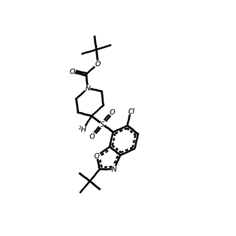 [2H]C1(S(=O)(=O)c2c(Cl)ccc3nc(C(C)(C)C)oc23)CCN(C(=O)OC(C)(C)C)CC1